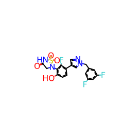 O=C1CN(c2c(O)ccc(-c3cnn(Cc4cc(F)cc(F)c4)c3)c2F)S(=O)(=O)N1